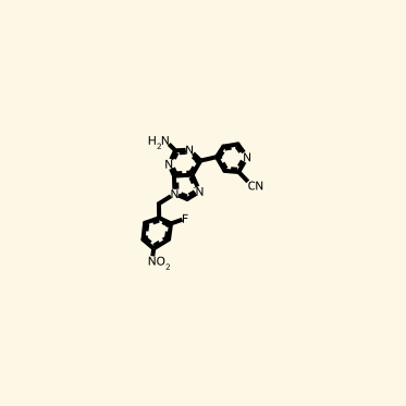 N#Cc1cc(-c2nc(N)nc3c2ncn3Cc2ccc([N+](=O)[O-])cc2F)ccn1